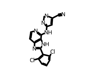 N#Cc1cc(Nc2nccc3nc(-c4c(Cl)cccc4Cl)[nH]c23)ncn1